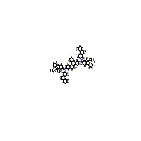 CC1(C)c2ccccc2-c2ccc(N(c3ccc4c(ccc5ccccc54)c3)c3ccc4c(ccc5c6ccc(N(c7ccc8c(c7)C(C)(C)C7C=CC=CC87)c7ccc8c(ccc9ccccc98)c7)cc6c6ccccc6c45)c3)cc21